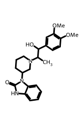 COc1ccc(C(O)C(C)N2CCCC(n3c(=O)[nH]c4ccccc43)C2)cc1OC